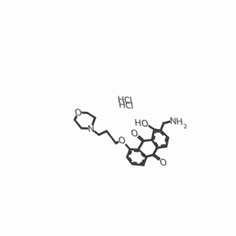 Cl.Cl.NCc1ccc2c(c1O)C(=O)c1c(OCCCN3CCOCC3)cccc1C2=O